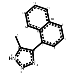 Cc1[nH]nnc1-c1cccc2ccccc12